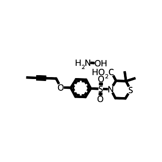 CC#CCOc1ccc(S(=O)(=O)N2CCSC(C)(C)C2C(=O)O)cc1.NO